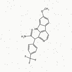 COc1ccc2c(c1)[nH]c1c(C(C(N)=O)c3ccc(C(F)(F)F)cc3)nccc12